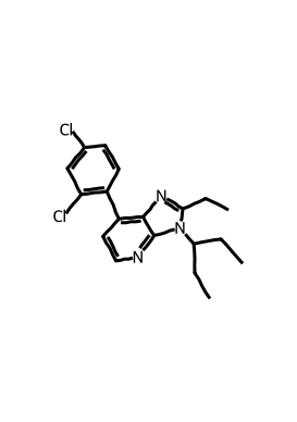 CCc1nc2c(-c3ccc(Cl)cc3Cl)ccnc2n1C(CC)CC